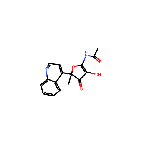 CC(=O)NC1=C(O)C(=O)C(C)(c2ccnc3ccccc23)O1